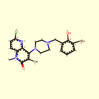 Cn1c(=O)c(C#N)c(N2CCN(Cc3cccc(C(C)(C)C)c3O)CC2)c2nc(Cl)ccc21